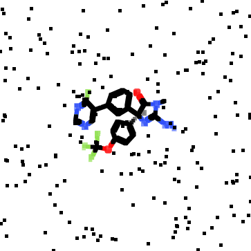 CN1C(=O)[C@](c2ccc(OC(F)(F)F)cc2)(c2cccc(-c3cncnc3F)c2)N=C1N